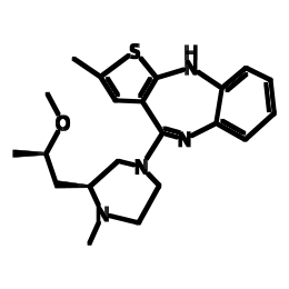 CO[C@H](C)C[C@H]1CN(C2=Nc3ccccc3Nc3sc(C)cc32)CCN1C